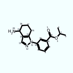 CC(C)OC(=O)c1cccc(-n2ncc3c2CCCC3N)c1